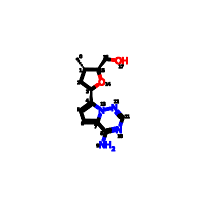 C[C@H]1C[C@H](c2ccc3c(N)ncnn23)O[C@@H]1CO